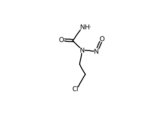 [NH]C(=O)N(CCCl)N=O